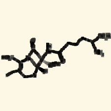 CO[C@@]1(NC(=O)CCCC(N)C(=O)O)C(=O)N2C(C(=O)O)=C(C)CS[C@H]21